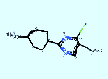 CCCCCCCC1CCC(c2ncc(CCCCC)c(F)n2)CC1